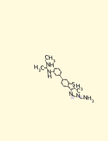 C=C(NCC)Nc1cccc(-c2ccc3c(/N=C\N=C\N)c(C)sc3c2)c1